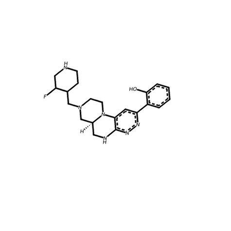 Oc1ccccc1-c1cc2c(nn1)NC[C@H]1CN(CC3CCNCC3F)CCN21